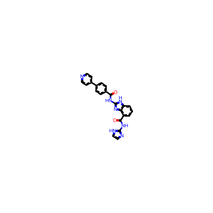 O=C(Nc1nc2c(C(=O)Nc3ncc[nH]3)cccc2[nH]1)c1ccc(-c2ccncc2)cc1